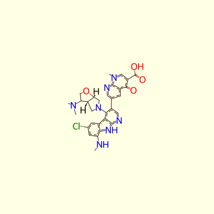 CNc1cc(Cl)cc2c1[nH]c1ncc(-c3cnc4c(c3)c(=O)c(C(=O)O)cn4C)c(N3C[C@@H]4C(N(C)C)CO[C@@H]4C3)c12